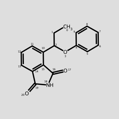 CCC(Oc1ccccc1)c1cccc2c1C(=O)NC2=O